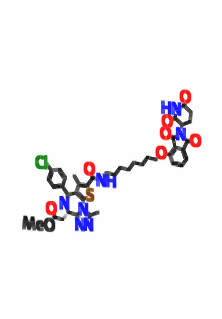 COC(=O)C[C@@H]1N=C(c2ccc(Cl)cc2)c2c(sc(C(=O)NCCCCCCCCOc3cccc4c3C(=O)N(C3CCC(=O)NC3=O)C4=O)c2C)-n2c(C)nnc21